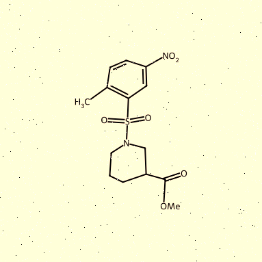 COC(=O)C1CCCN(S(=O)(=O)c2cc([N+](=O)[O-])ccc2C)C1